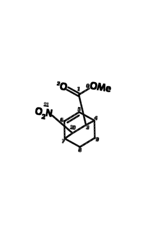 COC(=O)C1C2C=CC(CC2)C1[N+](=O)[O-]